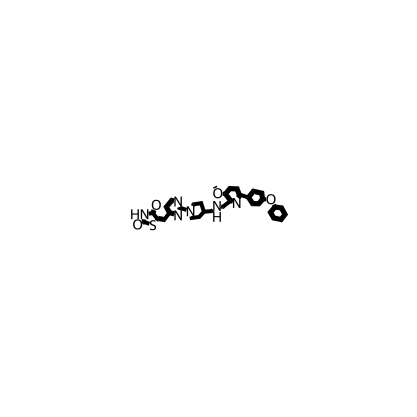 COc1ccc(-c2ccc(Oc3ccccc3)cc2)nc1CNCC1CCN(c2nccc(C=C3SC(=O)NC3=O)n2)CC1